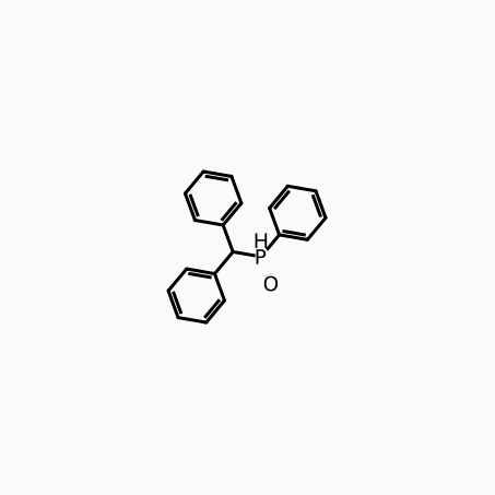 O=[PH](c1ccccc1)C(c1ccccc1)c1ccccc1